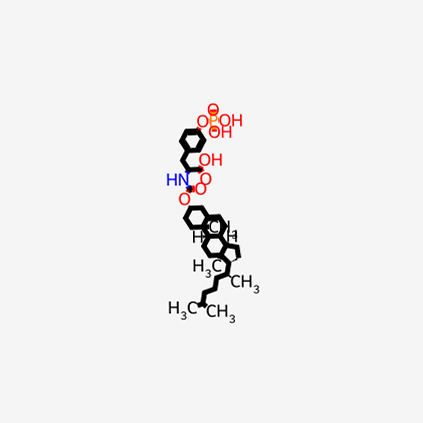 CC(C)CCC[C@@H](C)[C@H]1CC[C@H]2C3CC=C4C[C@@H](OC(=O)NC(Cc5ccc(OP(=O)(O)O)cc5)C(=O)O)CCC4(C)[C@H]3CCC12C